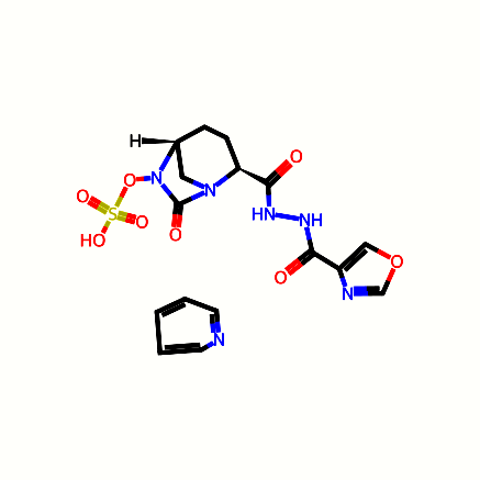 O=C(NNC(=O)[C@@H]1CC[C@@H]2CN1C(=O)N2OS(=O)(=O)O)c1cocn1.c1ccncc1